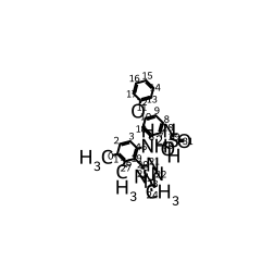 Cc1ccc(Nc2cccc(Oc3ccccc3)c2)c(-c2nnn(C)n2)c1C.N[SH](=O)=O